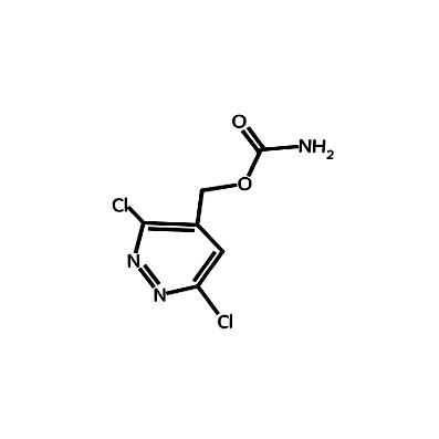 NC(=O)OCc1cc(Cl)nnc1Cl